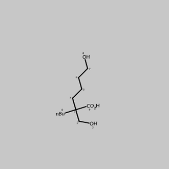 CCCCC(CO)(CCCCO)C(=O)O